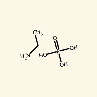 CCN.O=P(O)(O)O